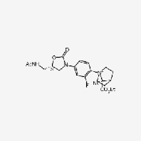 CCOC(=O)C1(C#N)C2CC[N+]1(c1ccc(N3C[C@H](CNC(C)=O)OC3=O)cc1F)CC2